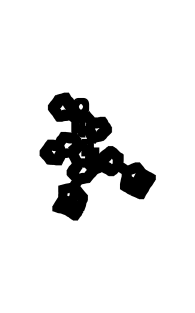 c1ccc2c3c4c(cc2c1)-n1c2c(cccc2c2oc5ccccc5c21)B4n1c2ccc(C45CC6CC7CC(C4)C76C5)cc2c2cc(C45CC6CC7CC(C4)C76C5)cc-3c21